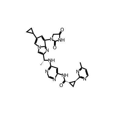 Cc1ccnc([C@H]2C[C@@H]2C(=O)Nc2cc(N[C@H](C)c3cn4cc(C5CC5)cc(N5CC(=O)NC5=O)c4n3)ncn2)n1